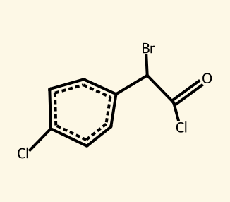 O=C(Cl)C(Br)c1ccc(Cl)cc1